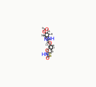 CC(=O)Oc1c(C)c(C)c2[nH]c(C(C)Oc3ccc(CC4SC(=O)NC4=O)cc3)nc2c1C